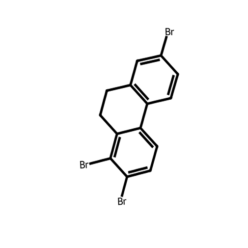 Brc1ccc2c(c1)CCc1c-2ccc(Br)c1Br